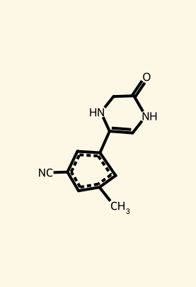 Cc1cc(C#N)cc(C2=CNC(=O)CN2)c1